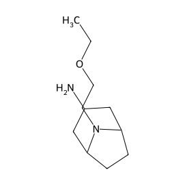 CCOCCN1C2CCC1CC(N)C2